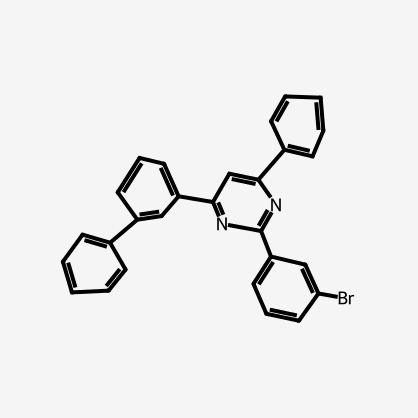 Brc1cccc(-c2nc(-c3ccccc3)cc(-c3cccc(-c4ccccc4)c3)n2)c1